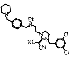 CCN(CCN1CCN(Cc2cc(Cl)cc(Cl)c2)C1=C(C#N)C#N)Cc1ccc(CN2CCCCC2)cc1